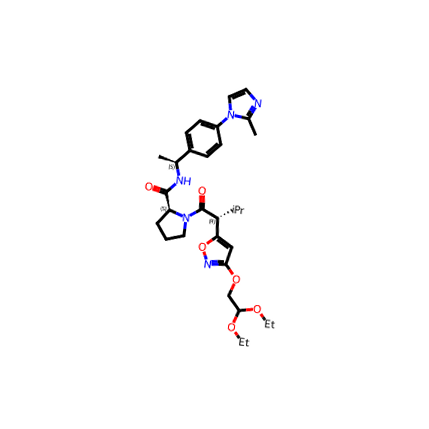 CCOC(COc1cc([C@H](C(=O)N2CCC[C@H]2C(=O)N[C@@H](C)c2ccc(-n3ccnc3C)cc2)C(C)C)on1)OCC